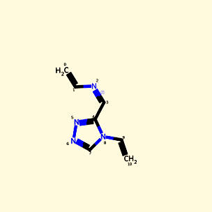 C=C/N=C\c1nncn1C=C